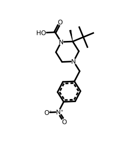 CC(C)(C)[C@]1(C)CN(Cc2ccc([N+](=O)[O-])cc2)CCN1C(=O)O